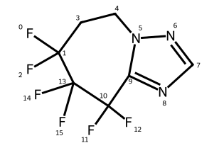 FC1(F)CCn2ncnc2C(F)(F)C1(F)F